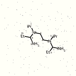 CCC(N)N(CCN(C(C)C)C(N)CC)C(C)C